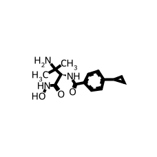 CC(C)(N)[C@H](NC(=O)c1ccc(C2CC2)cc1)C(=O)NO